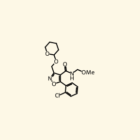 COCNC(=O)c1c(COC2CCCCO2)noc1-c1ccccc1Cl